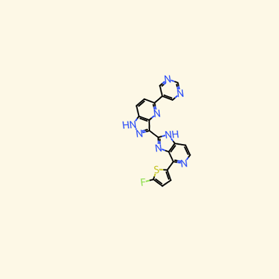 Fc1ccc(-c2nccc3[nH]c(-c4n[nH]c5ccc(-c6cncnc6)nc45)nc23)s1